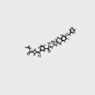 Cc1c(OCc2cnco2)ccc2c1CCN(C[C@@H](O)CNC(=O)c1ccnc(NC3CN(C(=O)C4CC4)C3)c1)C2